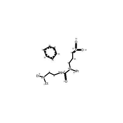 CCN(CC)CCNC(=O)N(CCC=S(=O)=O)C(C)C.c1ccccc1